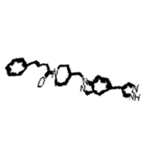 O=C(CCCc1ccccc1)N1CCC(Cn2ncc3cc(-c4cn[nH]c4)ccc32)CC1